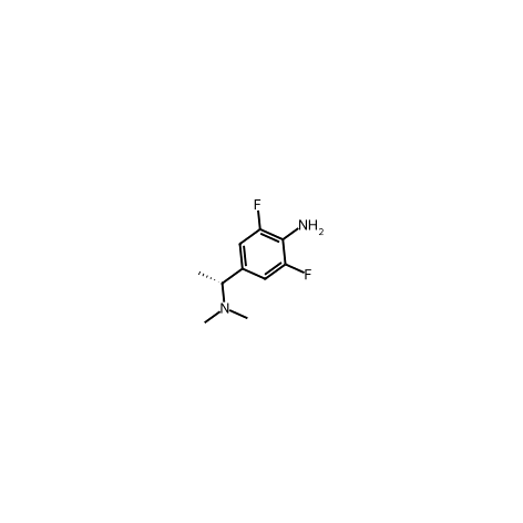 C[C@H](c1cc(F)c(N)c(F)c1)N(C)C